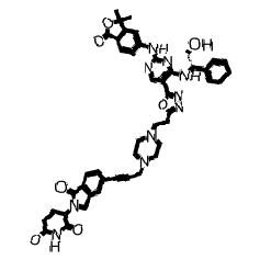 CC1(C)OC(=O)c2ccc(Nc3ncc(-c4nnc(CCN5CCN(CC#Cc6ccc7c(c6)CN(C6CCC(=O)NC6=O)C7=O)CC5)o4)c(N[C@H](CO)c4ccccc4)n3)cc21